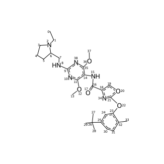 CCN1CCCC1CNc1nc(OC)c(NC(=O)c2coc(Oc3cc(C(C)(C)C)ccc3C)n2)c(OC)n1